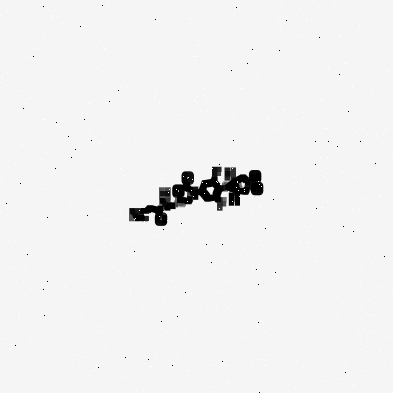 N#CCC(=O)NC[C@H]1CN(c2cc(F)c([C@H]3[C@@H]4CS(=O)(=O)C[C@@H]43)c(F)c2)C(=O)O1